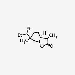 CCC(CC)C1(C)CC[C@@H]2C(C1)OC(=O)C2C